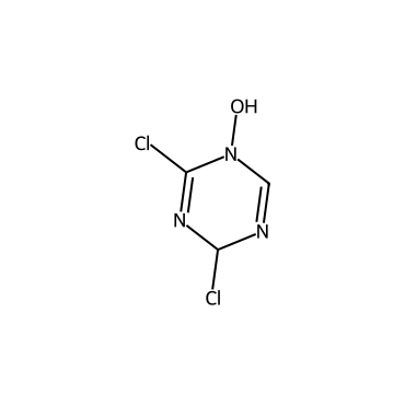 ON1C=NC(Cl)N=C1Cl